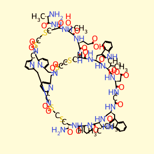 CC(C)[C@@H]1NC(=O)[C@H](Cc2c[nH]c3ccccc23)NC(=O)[C@@H]2CSCCS(=O)(=O)N3Cc4cccc(n4)CN(Cc4cccc(n4)CN(Cc4cccc(n4)C3)S(=O)(=O)CCSC[C@H](NC(=O)[C@H](C)N)C(=O)N[C@@H]([C@@H](C)O)C(=O)N[C@@H](CCC(=O)O)C(=O)N2)S(=O)(=O)CCSC[C@@H](C(N)=O)NC(=O)[C@@H]2CCCN2C(=O)[C@H](C(C)C)NC(=O)[C@H](Cc2c[nH]c3ccccc23)NC(=O)CNC(=O)[C@H](CC(=O)O)NC1=O